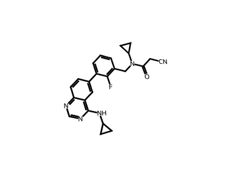 N#CCC(=O)N(Cc1cccc(-c2ccc3ncnc(NC4CC4)c3c2)c1F)C1CC1